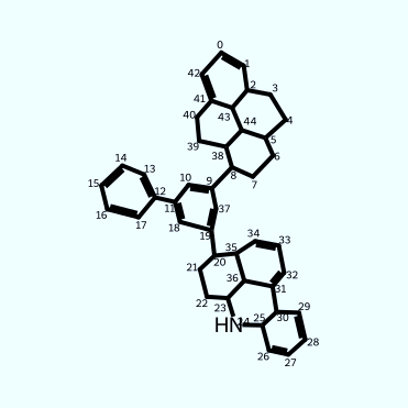 C1=CC2CCC3CCC(c4cc(-c5ccccc5)cc(C5CCC6NC7C=CC=CC7C7=CC=CC5C76)c4)C4CCC(=C1)C2C34